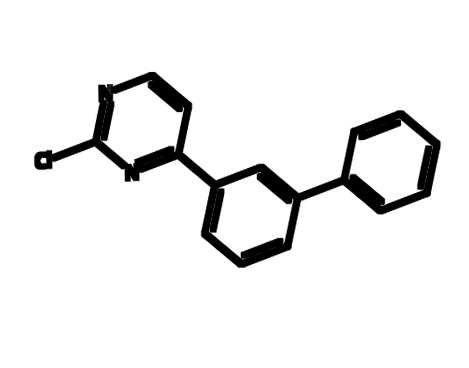 Clc1nccc(-c2cccc(-c3ccccc3)c2)n1